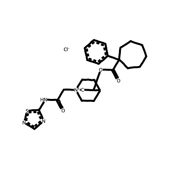 O=C(C[N+]12CCC(CC1)C(OC(=O)C1(c3ccccc3)CCCCCC1)C2)Nc1ncns1.[Cl-]